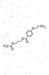 CCCOc1ccc(C(=O)OCCCOC(C)=O)cc1